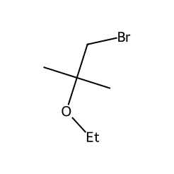 CCOC(C)(C)CBr